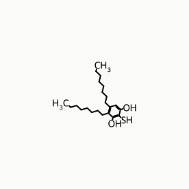 CCCCCCCCc1cc(O)c(S)c(O)c1CCCCCCCC